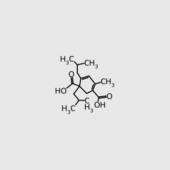 CC1=C(C(=O)O)CC(CC(C)C)(C(=O)O)C(CC(C)C)=C1